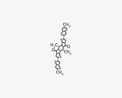 Cc1cc2sc(-c3cc4c(=O)c5c(C)c6c(c(C)c5c4s3)c(=O)c3cc(-c4cc5sc(C)cc5s4)sc36)cc2s1